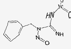 N=C(N[N+](=O)[O-])N(Cc1ccccc1)N=O